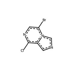 Clc1ncc(Br)n2cncc12